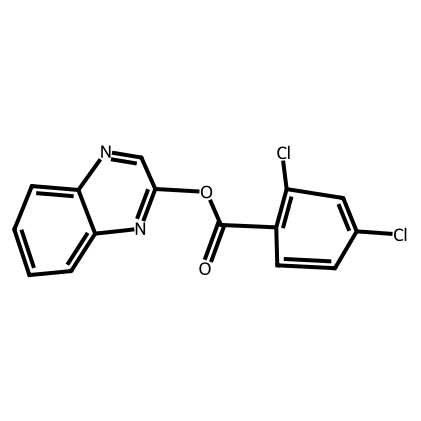 O=C(Oc1cnc2ccccc2n1)c1ccc(Cl)cc1Cl